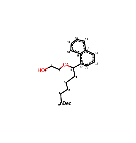 CCCCCCCCCCCCCCC(OCCO)c1cccc2ccccc12